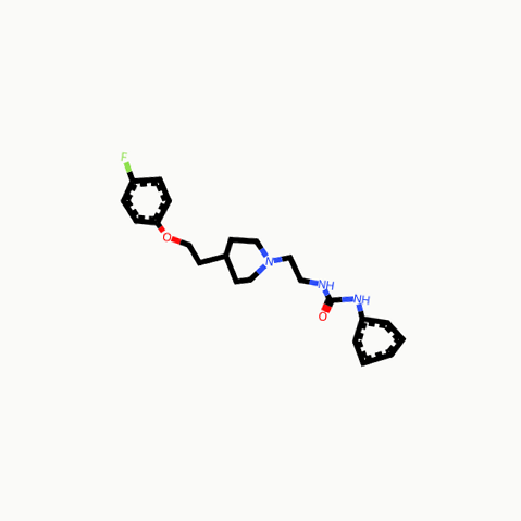 O=C(NCCN1CCC(CCOc2ccc(F)cc2)CC1)Nc1ccccc1